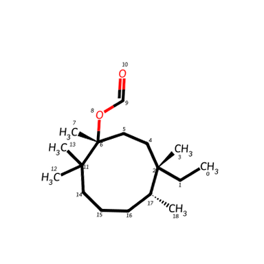 CC[C@@]1(C)CC[C@@](C)(OC=O)C(C)(C)CCC[C@H]1C